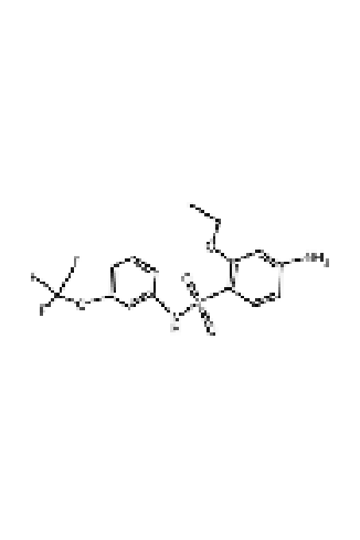 CCOc1cc(N)ccc1S(=O)(=O)Nc1cccc(OC(F)(F)F)c1